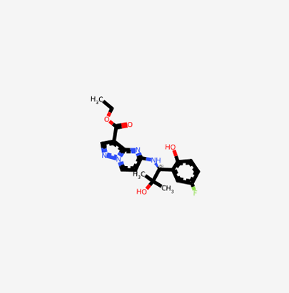 CCOC(=O)c1cnn2ccc(N[C@@H](c3cc(F)ccc3O)C(C)(C)O)nc12